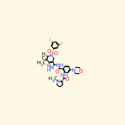 CN1CCC[C@@H]1C(=O)Nc1cc(N2CCOCC2)ccc1C(=O)Nc1n[nH]c2c1CN(S(=O)(=O)c1cc(F)cc(F)c1)CC2(C)C